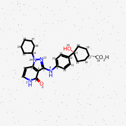 O=c1[nH]ccc2c1c(Nc1ccc([C@]3(O)CC[C@@H](C(=O)O)CC3)cc1)nn2C1CCCCC1